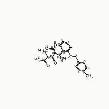 Cc1ccc(COc2cccc3oc(=O)c(C(=O)C(N)C(=O)O)c(O)c23)cc1